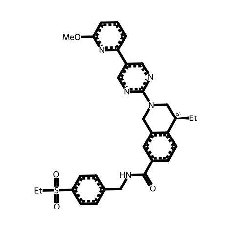 CC[C@@H]1CN(c2ncc(-c3cccc(OC)n3)cn2)Cc2cc(C(=O)NCc3ccc(S(=O)(=O)CC)cc3)ccc21